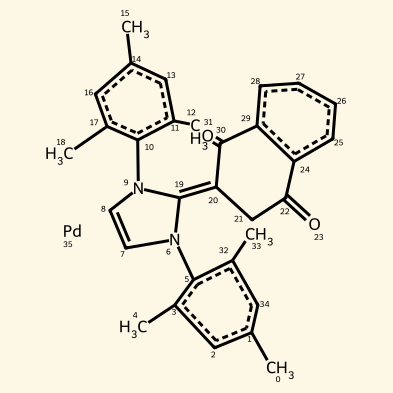 Cc1cc(C)c(N2C=CN(c3c(C)cc(C)cc3C)C2=C2CC(=O)c3ccccc3C2=O)c(C)c1.[Pd]